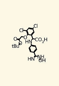 CC(C)(C)OC(=O)COc1c(Cl)cc(Cl)cc1C(Nc1ccc(C(=N)NO)cc1)C(=O)O